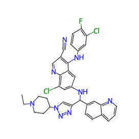 CCN1CCC(n2cc(C(Nc3cc(Cl)c4ncc(C#N)c(Nc5ccc(F)c(Cl)c5)c4c3)c3ccc4cccnc4c3)nn2)CC1